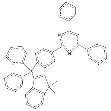 CC1(C)C2=C(c3ccccc31)[Si](c1ccccc1)(c1ccccc1)c1ccc(-c3nc(-c4ccccc4)cc(-c4ccccc4)n3)cc12